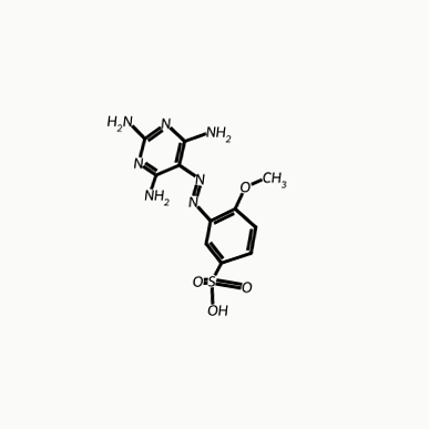 COc1ccc(S(=O)(=O)O)cc1N=Nc1c(N)nc(N)nc1N